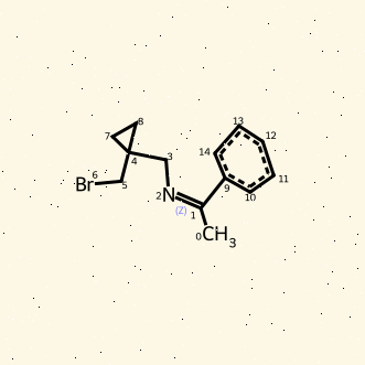 C/C(=N/CC1(CBr)CC1)c1ccccc1